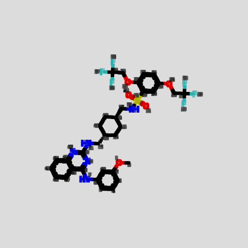 COc1cccc(Nc2nc(NC[C@H]3CC[C@H](CNS(=O)(=O)c4cc(OCC(F)(F)F)ccc4OCC(F)(F)F)CC3)nc3ccccc23)c1